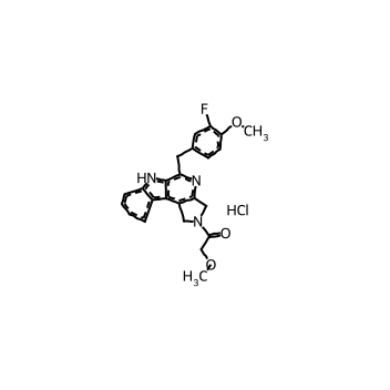 COCC(=O)N1Cc2nc(Cc3ccc(OC)c(F)c3)c3[nH]c4ccccc4c3c2C1.Cl